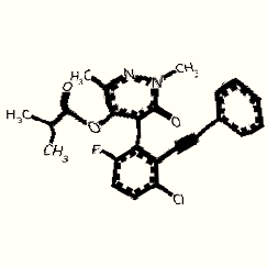 Cc1nn(C)c(=O)c(-c2c(F)ccc(Cl)c2C#Cc2ccccc2)c1OC(=O)C(C)C